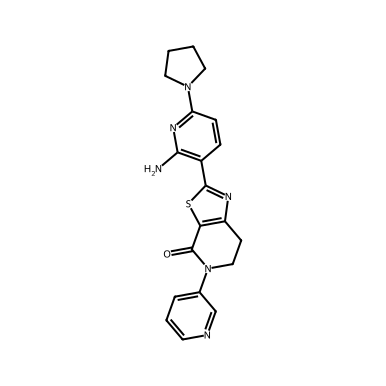 Nc1nc(N2CCCC2)ccc1-c1nc2c(s1)C(=O)N(c1cccnc1)CC2